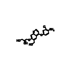 Nc1ccc(Oc2ccnc3cc(OC[C@@H](O)CO)c(CO)cc23)cc1Cl